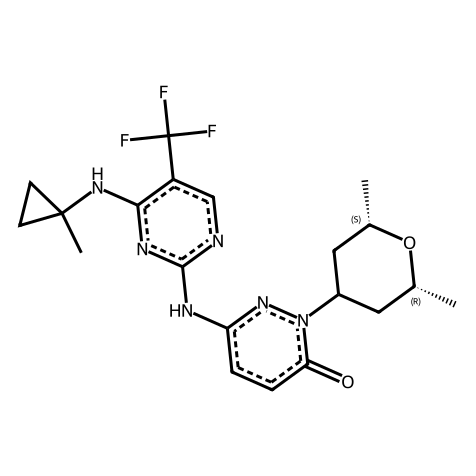 C[C@@H]1CC(n2nc(Nc3ncc(C(F)(F)F)c(NC4(C)CC4)n3)ccc2=O)C[C@H](C)O1